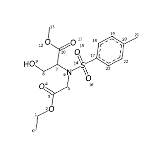 CCOC(=O)CN(C(CO)C(=O)OC)S(=O)(=O)c1ccc(C)cc1